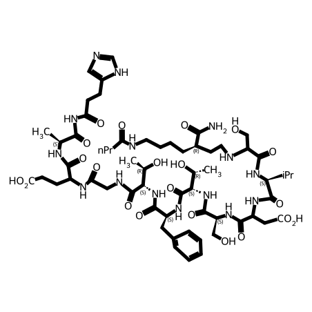 CCCC(=O)NCCCC[C@H](CCNC(CO)C(=O)N[C@H](C(=O)NC(CC(=O)O)C(=O)N[C@@H](CO)C(=O)N[C@H](C(=O)N[C@@H](Cc1ccccc1)C(=O)N[C@H](C(=O)NCC(=O)NC(CCC(=O)O)C(=O)N[C@@H](C)C(=O)NC(=O)CCc1cnc[nH]1)[C@@H](C)O)[C@@H](C)O)C(C)C)C(N)=O